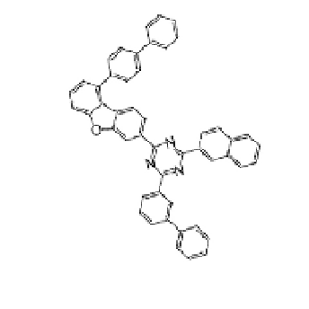 c1ccc(-c2ccc(-c3cccc4oc5cc(-c6nc(-c7cccc(-c8ccccc8)c7)nc(-c7ccc8ccccc8c7)n6)ccc5c34)cc2)cc1